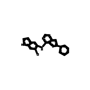 Clc1cc2[nH]ccc2cc1Nc1ncnc2cc(-c3ccccc3)sc12